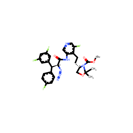 CC(C)(C)OC(=O)N1[C@@H](CCc2c(F)cncc2NC(=O)[C@@H](N=[N+]=[N-])C(c2ccc(F)cc2)c2cc(F)cc(F)c2)COC1(C)C